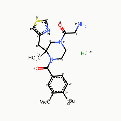 COc1cc(C(=O)N2CCN(C(=O)CN)CC2(Cc2cscn2)C(=O)O)ccc1C(C)(C)C.Cl